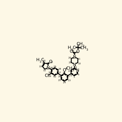 COc1c(-c2ccnc(N3CCN(C(=O)OC(C)(C)C)CC3)c2)cccc1-c1ccc(N2CC=C(C)C2=O)c(Cl)c1